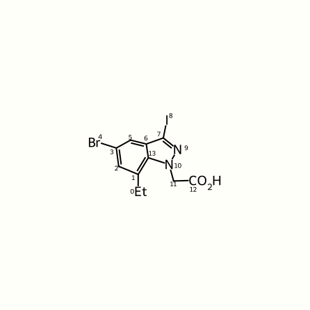 CCc1cc(Br)cc2c(I)nn(CC(=O)O)c12